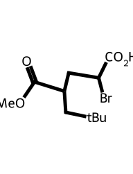 COC(=O)C(CC(Br)C(=O)O)CC(C)(C)C